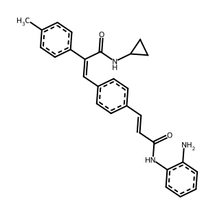 Cc1ccc(C(=Cc2ccc(C=CC(=O)Nc3ccccc3N)cc2)C(=O)NC2CC2)cc1